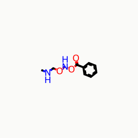 CNCONOC(=O)c1ccccc1